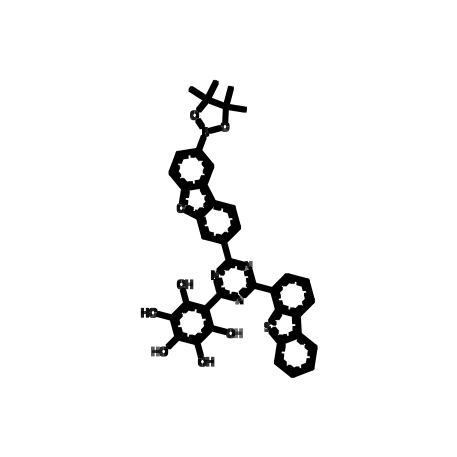 CC1(C)OB(c2ccc3oc4cc(-c5nc(-c6c(O)c(O)c(O)c(O)c6O)nc(-c6cccc7c6sc6ccccc67)n5)ccc4c3c2)OC1(C)C